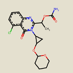 CC(OC(N)=O)c1nc2cccc(Cl)c2c(=O)n1C1CC1OC1CCCCO1